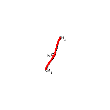 CCCCCCCCCCCCCCCCCCCCCCCCC(CCCCCCCCCCCCCCCCCCCCCCC)C(=O)O